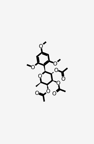 COc1cc(OC)c([C@@H]2O[C@H](C)[C@H](OC(C)=O)[C@H](OC(C)=O)[C@H]2OC(C)=O)c(OC)c1